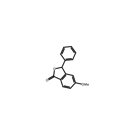 COc1ccc2c(c1)C(c1ccccc1)OC2=O